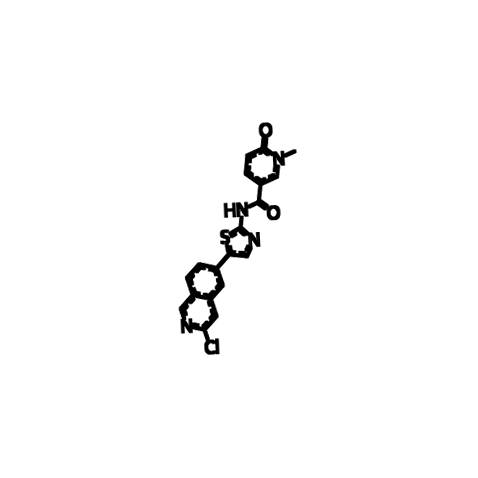 Cn1cc(C(=O)Nc2ncc(-c3ccc4cnc(Cl)cc4c3)s2)ccc1=O